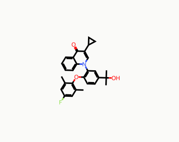 Cc1cc(F)cc(C)c1Oc1ccc(C(C)(C)O)cc1-n1cc(C2CC2)c(=O)c2ccccc21